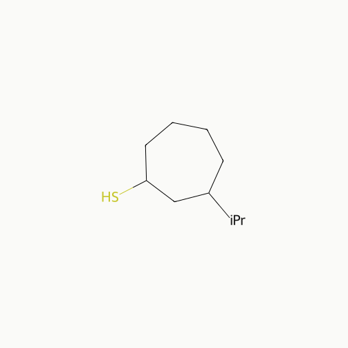 CC(C)C1CCCCC(S)C1